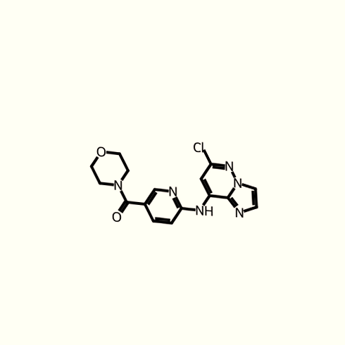 O=C(c1ccc(Nc2cc(Cl)nn3ccnc23)nc1)N1CCOCC1